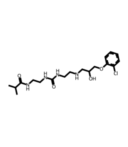 CC(C)C(=O)NCCNC(=O)NCCNCC(O)COc1ccccc1Cl